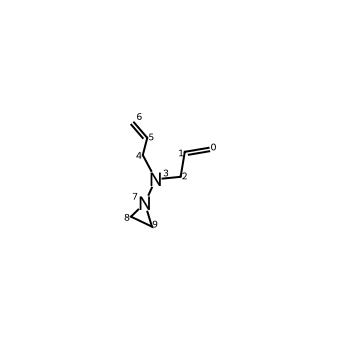 C=CCN(CC=C)N1CC1